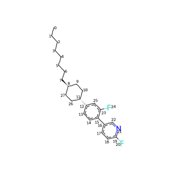 CCCCCCCC[C@H]1CC[C@H](c2ccc(-c3ccc(F)nc3)c(F)c2)CC1